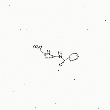 O=C(O)Cc1ccc(NC(=O)c2ccccc2)[nH]1